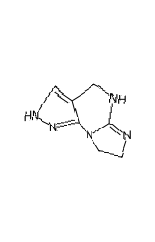 c1[nH]nc2c1CNC1=NCCN12